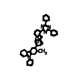 C/C=C(\C=C/c1cc2c(-c3nc(-c4ccccc4)nc(-c4ccccc4)n3)cccc2o1)C1=Cc2c3c(n(-c4ccccc4)c2CC1C)C=CCC3